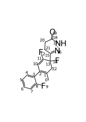 CC1=C(c2ccccc2F)C=C(F)C(F)(C2=NNC(=O)CC2)C1